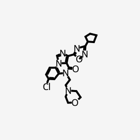 O=c1c2c(-c3nc(C4CCCC4)no3)ncn2c2ccc(Cl)cc2n1CCN1CCOCC1